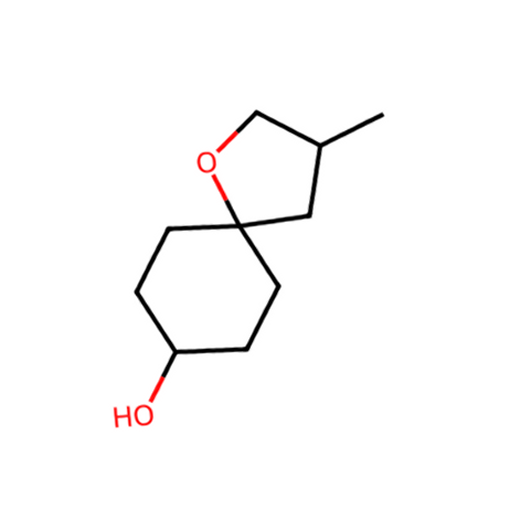 CC1COC2(CCC(O)CC2)C1